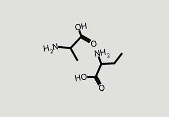 CC(N)C(=O)O.CCC(N)C(=O)O